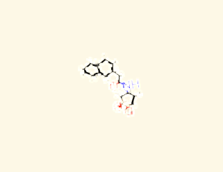 O=C(Cc1ccc2ccccc2c1)NC1C=CS(=O)(=O)C1